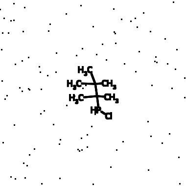 CC(C)(C)C(C)(C)PCl